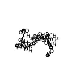 Cc1csc2c(OC(=O)N(C)CC(C)(C)CN(C)C(=O)OCc3ccc(NC(=O)CNC(=O)[C@H](CC(C)C)NC(=O)[C@H](Cc4ccccc4)NC(=O)CCCCCN4C(=O)C=CC4=O)cc3)cc3c(c12)[C@H](CCl)CN3C(=O)c1cc2cc(OCCN3CCCC3)ccc2[nH]1